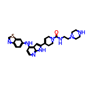 O=C(NCCN1CCNCC1)N1CC=C(c2cc3c(Nc4ccc5ncsc5c4)ccnc3[nH]2)CC1